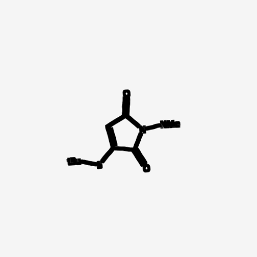 CNN1C(=O)C=C(SC(C)(C)C)C1=O